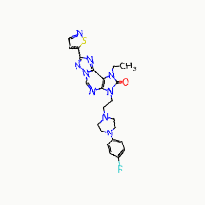 CCn1c(=O)n(CCN2CCN(c3ccc(F)cc3)CC2)c2ncn3nc(-c4ccns4)nc3c21